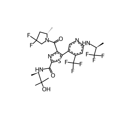 C[C@H](Nc1cc(C(F)(F)F)c(-c2sc(C(=O)N[C@H](C)C(C)(C)O)nc2C(=O)N2CC(F)(F)C[C@@H]2C)cn1)C(F)(F)F